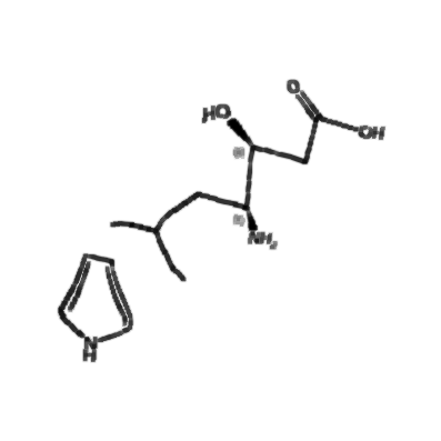 CC(C)C[C@H](N)[C@@H](O)CC(=O)O.c1cc[nH]c1